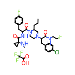 CCCC1CN(C(Cc2ccc(Cl)cc2)C(=O)NCCF)CCN1C(=O)C(Cc1ccc(F)cc1)NC(=O)C1(NC)CC1.O=C(O)C(F)(F)F